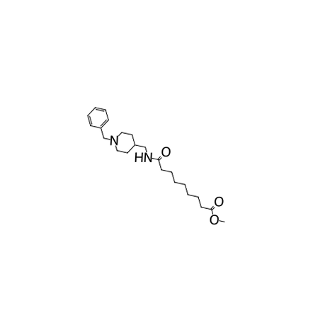 COC(=O)CCCCCCCC(=O)NCC1CCN(Cc2ccccc2)CC1